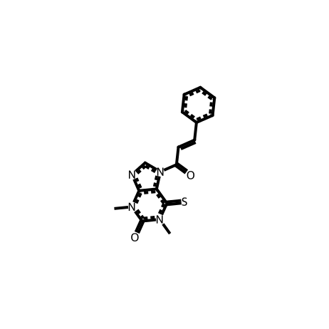 Cn1c(=S)c2c(ncn2C(=O)/C=C/c2ccccc2)n(C)c1=O